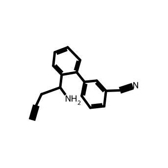 C#CCC(N)c1ccccc1-c1cccc(C#N)c1